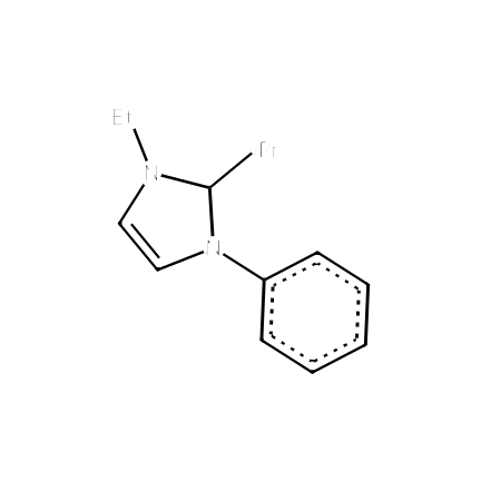 CCN1C=CN(c2ccccc2)C1C(C)C